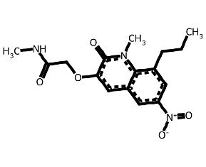 CCCc1cc([N+](=O)[O-])cc2cc(OCC(=O)NC)c(=O)n(C)c12